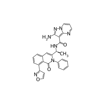 C[C@H](NC(=O)c1c(N)nn2cccnc12)c1cc2cccc(-c3ccon3)c2c(=O)n1-c1ccccc1